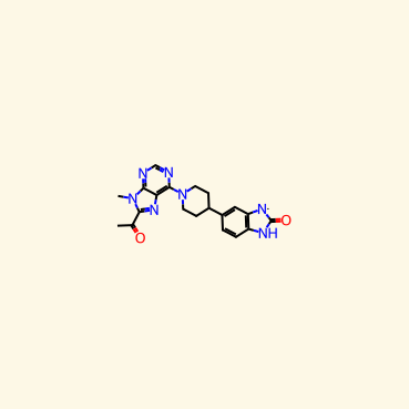 CC(=O)c1nc2c(N3CCC(c4ccc5c(c4)[N]C(=O)N5)CC3)ncnc2n1C